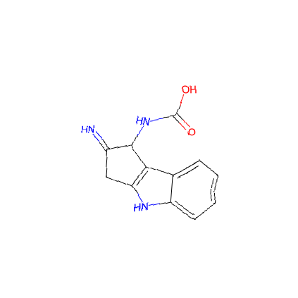 N=C1Cc2[nH]c3ccccc3c2C1NC(=O)O